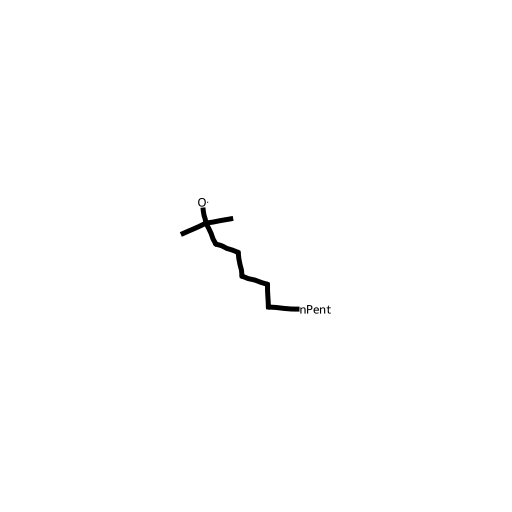 CCCCCCCCCCC(C)(C)[O]